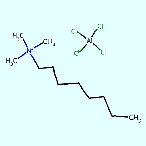 CCCCCCCC[N+](C)(C)C.[Cl][Al-]([Cl])([Cl])[Cl]